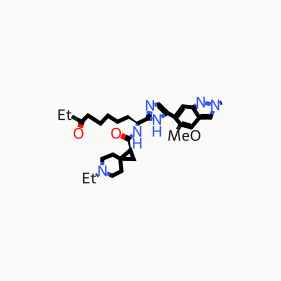 CCC(=O)CCCCC[C@H](NC(=O)[C@H]1CC12CCN(CC)CC2)c1ncc(-c2cc3nn(C)cc3cc2OC)[nH]1